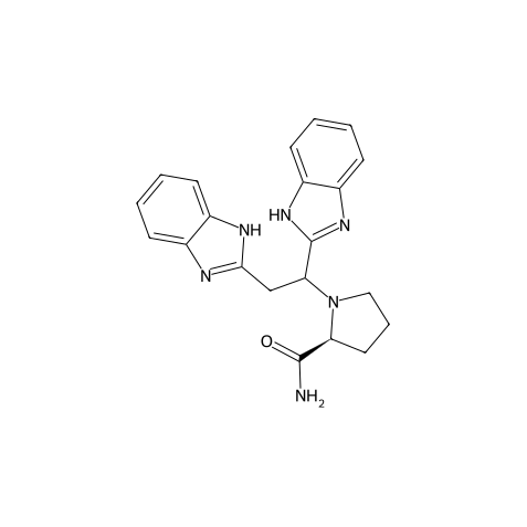 NC(=O)[C@@H]1CCCN1C(Cc1nc2ccccc2[nH]1)c1nc2ccccc2[nH]1